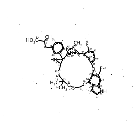 CC(Cc1cccc(C23NC2CCC(C)(C)CSCCc2c(c(F)cc4[nH]ccc24)Oc2ccc(F)c(c2)-c2nc3nn2C)c1)C(=O)O